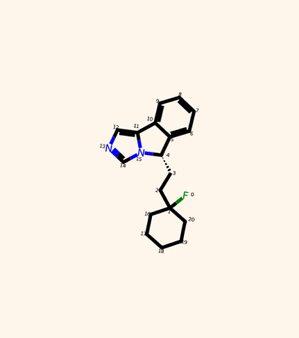 FC1(CC[C@H]2c3ccccc3-c3cncn32)CCCCC1